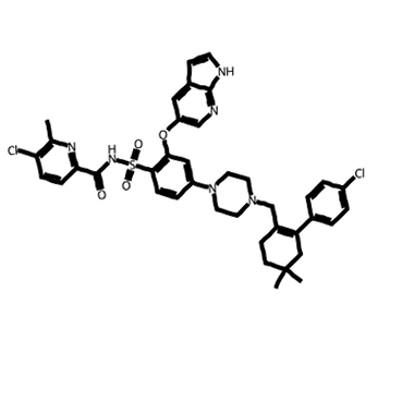 Cc1nc(C(=O)NS(=O)(=O)c2ccc(N3CCN(CC4=C(c5ccc(Cl)cc5)CC(C)(C)CC4)CC3)cc2Oc2cnc3[nH]ccc3c2)ccc1Cl